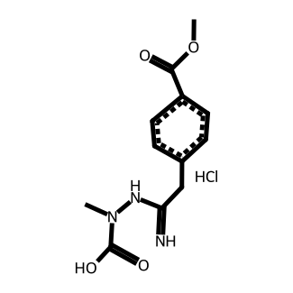 COC(=O)c1ccc(CC(=N)NN(C)C(=O)O)cc1.Cl